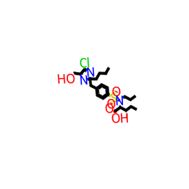 CCCCC1(Cc2ccc(S(=O)(=O)N(CCC)[C@H](C(=O)O)[C@@H](C)CC)cc2)N=C(Cl)C(CO)=N1